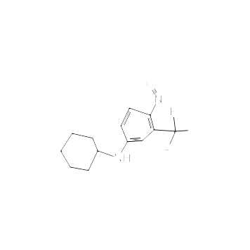 CC(F)(F)c1cc(NC2CCCCC2)ccc1N=O